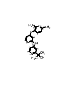 Cc1ccc(Oc2ccnc(Nc3ccnc(C(C)(C)O)c3)c2)c(C)n1